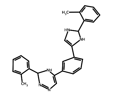 Cc1ccccc1C1N=NC=C(c2cccc(C3=CNC(c4ccccc4C)N3)c2)N1